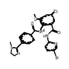 COc1cc(Cl)cc(C(=O)Nc2ccc(Br)cn2)c1NC(=O)c1ccc(C2=NCCN2C)cc1